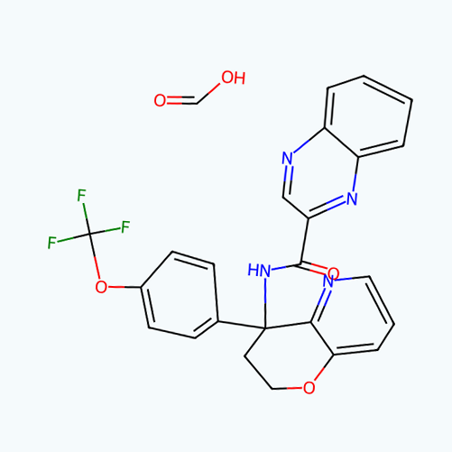 O=C(NC1(c2ccc(OC(F)(F)F)cc2)CCOc2cccnc21)c1cnc2ccccc2n1.O=CO